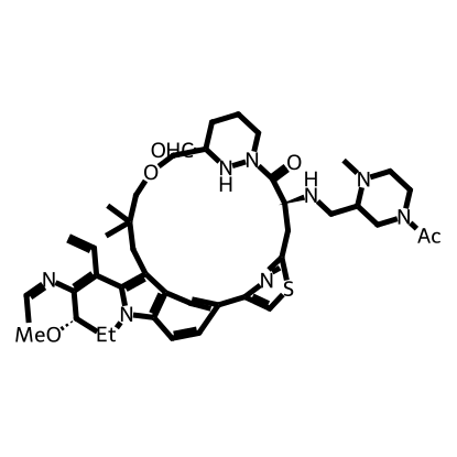 C=C/C(=C(\N=C/C)[C@H](C)OC)c1c2c3cc(ccc3n1CC)-c1csc(n1)C[C@H](NCC1CN(C(C)=O)CCN1C)C(=O)N1CCC[C@](C=O)(COCC(C)(C)C2)N1